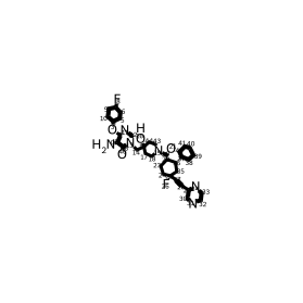 Nc1c(Oc2ccc(F)cc2)ncn(CC2(O)CCN(C(=O)[C@@H]3CC[C@](F)(C#Cc4cnccn4)C[C@H]3c3ccccc3)CC2)c1=O